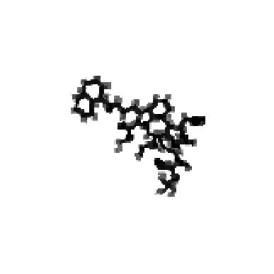 CCOCc1nn(C)c(CO)c1-c1cccc2c(CCCOc3cccc4ccccc34)c(C(=O)OCC)n(CCCCN(C)C(=O)OC(C)(C)C)c12